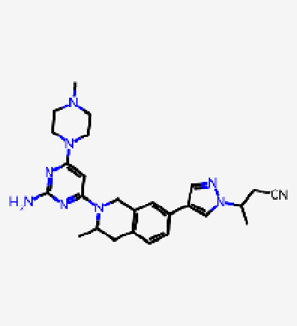 CC1Cc2ccc(-c3cnn(C(C)CC#N)c3)cc2CN1c1cc(N2CCN(C)CC2)nc(N)n1